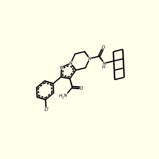 NC(=O)c1c(-c2cccc(Cl)c2)nn2c1CN(C(=O)NC13C4C5C6C4C1C6C53)CC2